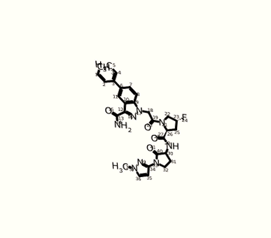 C/C=C\C(=C/C)c1ccc2c(c1)c(C(N)=O)nn2CC(=O)N1C[C@H](F)C[C@H]1C(=O)NC1CCN(c2ccn(C)n2)C1=O